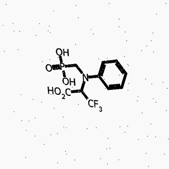 O=C(O)C(N(CP(=O)(O)O)c1ccccc1)C(F)(F)F